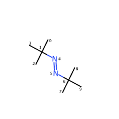 CC(C)(C)/N=N/C(C)(C)C